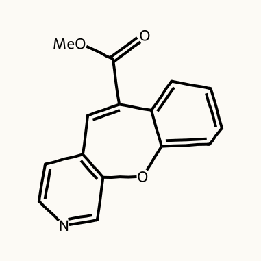 COC(=O)C1=Cc2ccncc2Oc2ccccc21